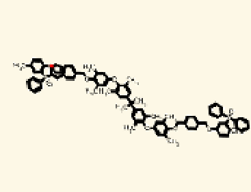 Cc1ccc(OCc2ccc(COc3c(C)cc(Oc4c(C)cc(C(C)(C)c5cc(C)c(Oc6cc(C)c(OCc7ccc(COc8ccc(O)c(P(=O)(c9ccccc9)c9ccccc9)c8)cc7)c(C)c6)c(C)c5)cc4C)cc3C)cc2)c(P(=O)(c2ccccc2)c2ccccc2)c1